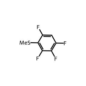 CSc1c(F)cc(F)c(F)c1F